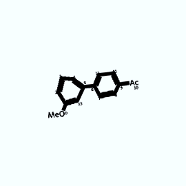 COc1cccc(-c2ccc(C(C)=O)cc2)c1